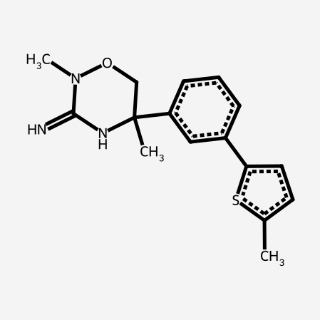 Cc1ccc(-c2cccc(C3(C)CON(C)C(=N)N3)c2)s1